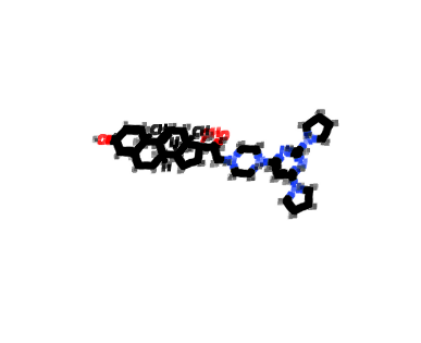 C[C@]12C=CC(=O)C=C1CC[C@@H]1C2=CC[C@@]2(C)[C@H]1CC[C@]2(O)C(=O)CN1CCN(c2cc(N3CCCC3)nc(N3CCCC3)n2)CC1